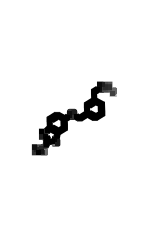 BCc1cccc(COc2ccc3nc(C#N)sc3c2)c1